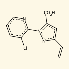 C=Cc1cc(C(=O)O)n(-c2ncccc2Cl)n1